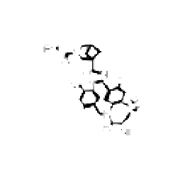 CC(C)OC(=O)N1CC2CC(c3nc(-c4cc5c(cc4F)S(=O)(=O)C[C@H](N)C(=O)N5Cc4ccc(Cl)cc4)no3)(C2)C1